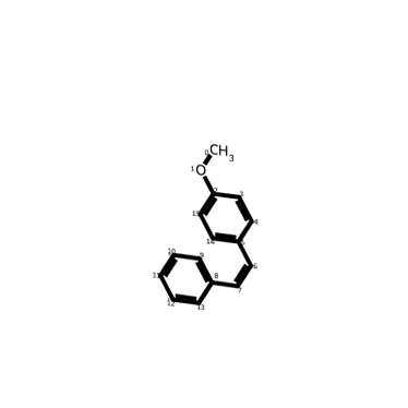 COc1ccc(/C=C\c2c[c]c[c]c2)cc1